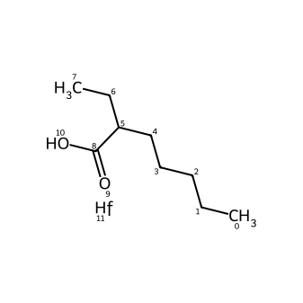 CCCCCC(CC)C(=O)O.[Hf]